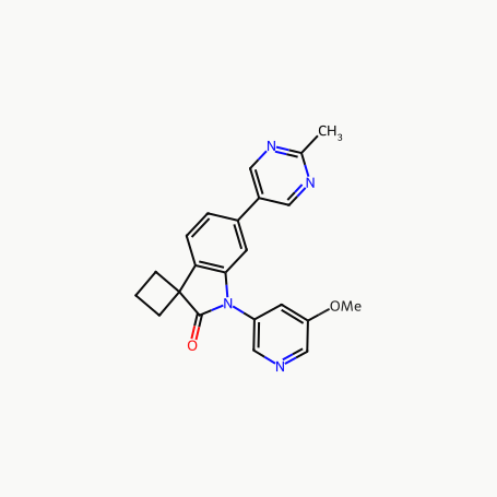 COc1cncc(N2C(=O)C3(CCC3)c3ccc(-c4cnc(C)nc4)cc32)c1